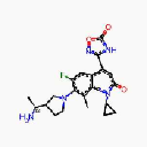 Cc1c(N2CCC([C@H](C)N)C2)c(F)cc2c(-c3noc(=O)[nH]3)cc(=O)n(C3CC3)c12